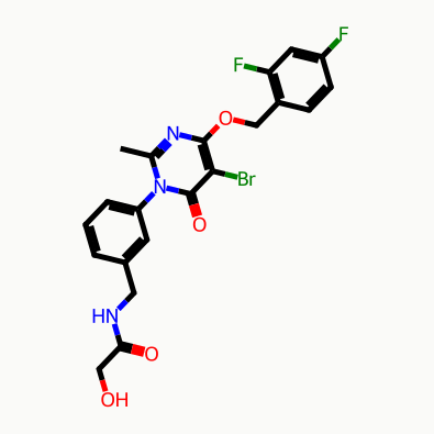 Cc1nc(OCc2ccc(F)cc2F)c(Br)c(=O)n1-c1cccc(CNC(=O)CO)c1